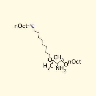 CCCCCCCC/C=C\CCCCCCCCOC(C)(C)C(N)COCCCCCCCC